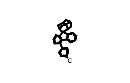 Clc1ccc(-c2cccc3c2-c2ccccc2C32C3CC4CC(C3)CC2C4)cc1